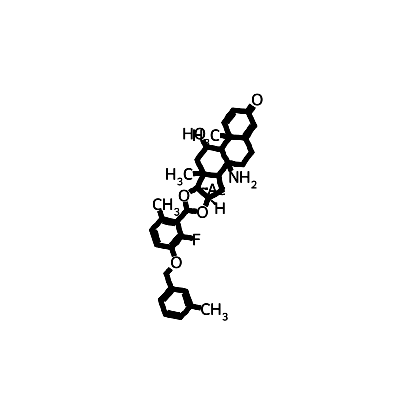 CC(=O)[C@@]12OC(c3c(C)ccc(OCc4cccc(C)c4)c3F)O[C@@H]1CC1C3(N)CCC4=CC(=O)C=CC4(C)C3C(O)CC12C